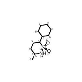 C[C@H]1CCC(C2CCCCC2)S(=O)(=O)N1